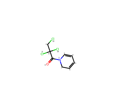 O=C(N1C=CC=CC1)C(Cl)(Cl)CCl